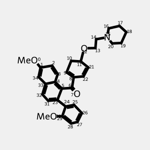 COc1ccc2c(C(=O)C3=CCC(OCCN4CCCCC4)C=C3)c(-c3ccccc3OC)ccc2c1